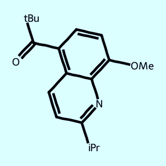 COc1ccc(C(=O)C(C)(C)C)c2ccc(C(C)C)nc12